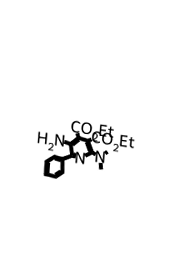 CCOC(=O)c1c(N(C)C)nc(-c2ccccc2)c(N)c1C(=O)OCC